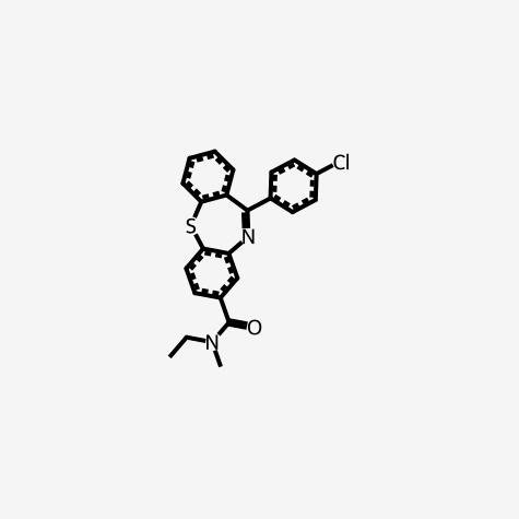 CCN(C)C(=O)c1ccc2c(c1)N=C(c1ccc(Cl)cc1)c1ccccc1S2